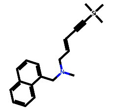 CN(C/C=C/C#C[Si](C)(C)C)Cc1cccc2ccccc12